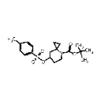 Cc1ccc(S(=O)(=O)OC2CCN(C(=O)OC(C)(C)C)C3(CC3)C2)cc1